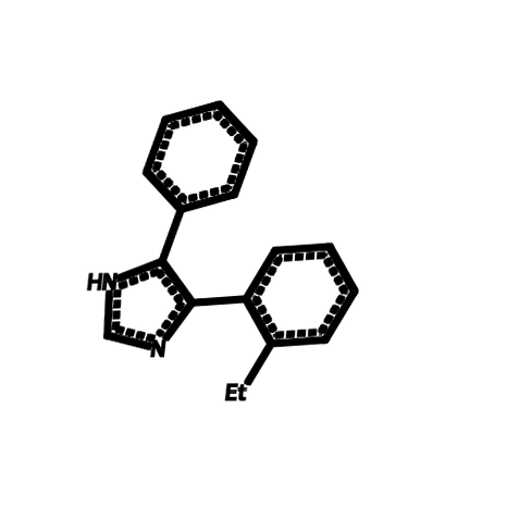 CCc1ccccc1-c1nc[nH]c1-c1ccccc1